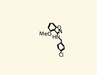 COc1cccc2onc(NCc3ccc(Cl)cc3)c12